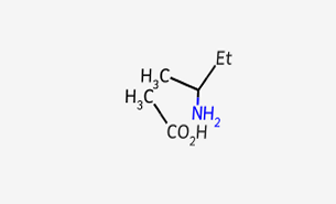 CC(=O)O.CCC(C)N